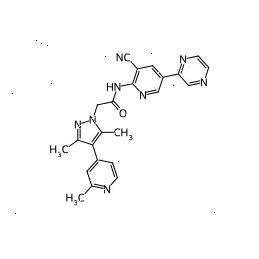 Cc1cc(-c2c(C)nn(CC(=O)Nc3ncc(-c4cnccn4)cc3C#N)c2C)ccn1